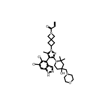 C=CC(=O)N1CC2(CC(n3nc(N4CCC(O)(CN5CCOCC5)CC4(C)C)c(-c4c(Cl)c(Cl)cc5[nH]ncc45)c3C)C2)C1